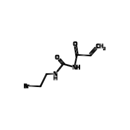 C=CC(=O)NC(=O)NCCBr